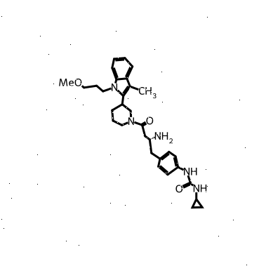 COCCCn1c(C2CCCN(C(=O)C[C@H](N)Cc3ccc(NC(=O)NC4CC4)cc3)C2)c(C)c2ccccc21